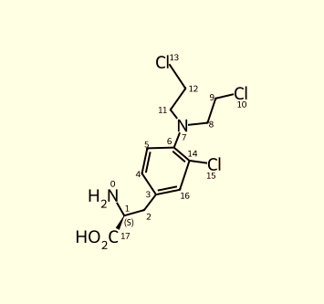 N[C@@H](Cc1ccc(N(CCCl)CCCl)c(Cl)c1)C(=O)O